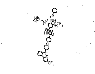 CN(CCO[Si](C)(C)C(C)(C)C)CC[C@H](CSc1ccccc1)Nc1ccc(S(=O)(=O)NC(=O)c2ccc(N3CCC([C@@H](O)c4ccccc4-c4ccc(C(F)(F)F)cc4)CC3)cc2)cc1S(=O)(=O)C(F)(F)F